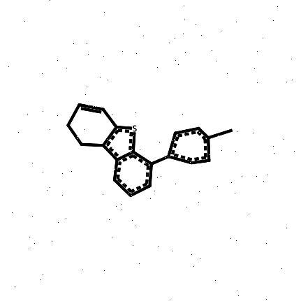 Cc1ccc(-c2cccc3c4c(sc23)C=CCC4)cc1